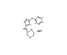 N#C[C@@H]1CCC[C@@H](Nc2ccn(Cc3ccccc3)c2)C1